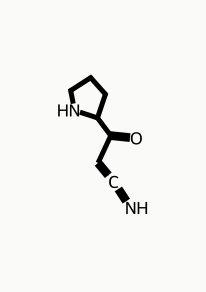 N=C=CC(=O)C1CCCN1